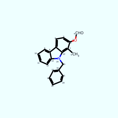 Cc1c(OC=O)ccc2c3ccccc3n(Cc3ccccc3)c12